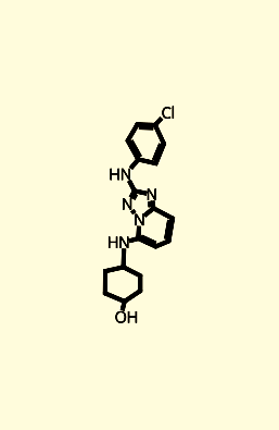 OC1CCC(Nc2cccc3nc(Nc4ccc(Cl)cc4)nn23)CC1